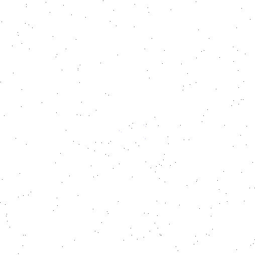 O=c1[nH]nc(-c2ccccc2)nc1Cc1ccccc1